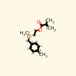 C=C(C)C(=O)OCC[S+](C)Cc1ccc(C)cc1